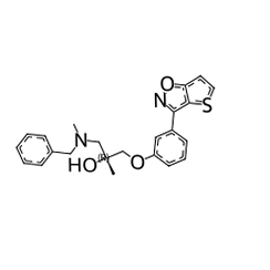 CN(Cc1ccccc1)C[C@@](C)(O)COc1cccc(-c2noc3ccsc23)c1